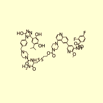 COc1ncc(-c2ccc3nccc(N4CCN(C(=O)OCCSSCC(NC(=O)N5CCN(Cc6ccc(-n7c(O)nnc7-c7cc(C(C)C)c(O)cc7O)cc6)CC5)C(N)=O)CC4)c3c2)cc1NS(=O)(=O)c1ccc(F)cc1F